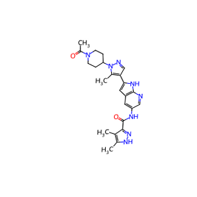 CC(=O)N1CCC(n2ncc(-c3cc4cc(NC(=O)c5n[nH]c(C)c5C)cnc4[nH]3)c2C)CC1